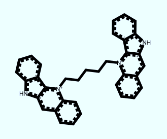 c1ccc2c(c1)cc1[nH]c3ccccc3c1[n+]2CCCCC[n+]1c2ccccc2cc2[nH]c3ccccc3c21